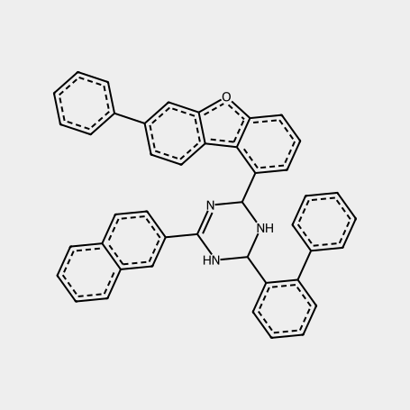 c1ccc(-c2ccc3c(c2)oc2cccc(C4N=C(c5ccc6ccccc6c5)NC(c5ccccc5-c5ccccc5)N4)c23)cc1